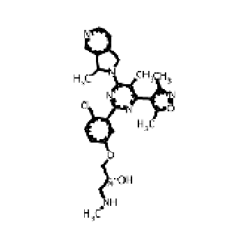 CNC[C@@H](O)COc1ccc(Cl)c(-c2nc(-c3c(C)noc3C)c(C)c(N3Cc4ccncc4C3C)n2)c1